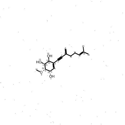 C=C(C#CC1=C[C@H](O)[C@H](OC)[C@@H](O)[C@H]1O)CCC=C(C)C